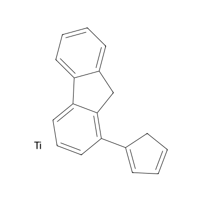 C1=CCC(c2cccc3c2Cc2ccccc2-3)=C1.[Ti]